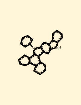 c1ccc(-n2c3cc4c(cc3c3c5ccccc5c5ccccc5c32)[nH]c2ccccc24)cc1